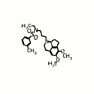 CCN(CCCN1CCc2cc(OC)c(OC)c3c2C1CC3)S(=O)(=O)c1cccc(C)c1